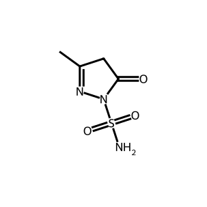 CC1=NN(S(N)(=O)=O)C(=O)C1